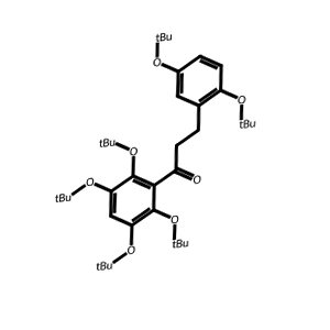 CC(C)(C)Oc1ccc(OC(C)(C)C)c(CCC(=O)c2c(OC(C)(C)C)c(OC(C)(C)C)cc(OC(C)(C)C)c2OC(C)(C)C)c1